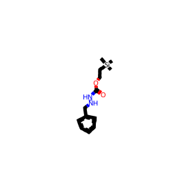 C[Si](C)(C)CCOC(=O)NNCc1ccccc1